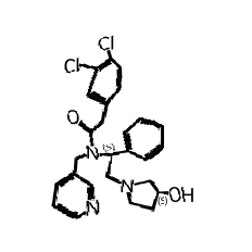 O=C(Cc1ccc(Cl)c(Cl)c1)N(Cc1cccnc1)[C@H](CN1CC[C@H](O)C1)c1ccccc1